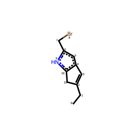 CCC1=Cc2cc(CBr)[nH]c2C1